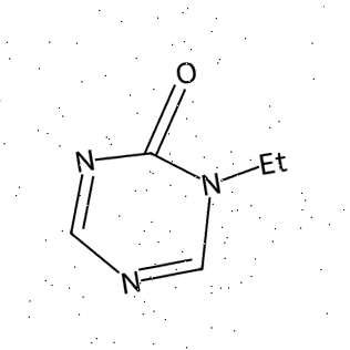 CCn1cncnc1=O